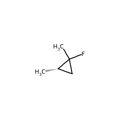 C[C@H]1CC1(C)F